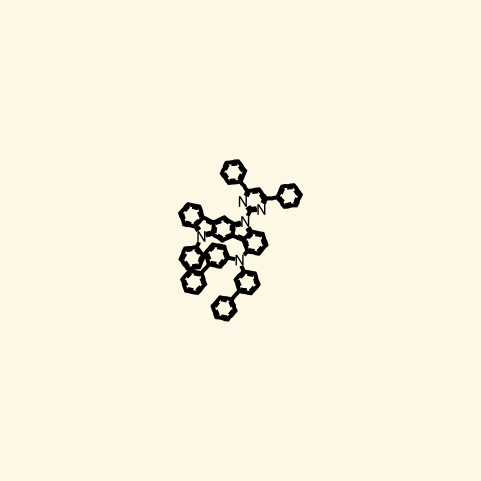 c1ccc(-c2cccc(N(c3cccc(-c4ccccc4)c3)c3cccc4c3c3cc5c(cc3n4-c3nc(-c4ccccc4)cc(-c4ccccc4)n3)c3ccccc3n5-c3ccccc3)c2)cc1